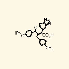 Cc1ccc(C/C(C(=O)c2ccc(OC(C)C)cc2)=C(\C(=O)O)c2ccc3nsnc3c2)cc1